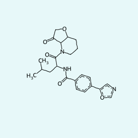 CC(C)CC(NC(=O)c1ccc(-c2cnco2)cc1)C(=O)N1CCCC2OCC(=O)C21